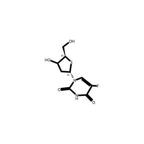 O=c1[nH]c(=O)n([C@@H]2CC(O)[C@@H](CO)S2)cc1F